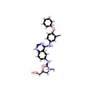 Cc1cc(Nc2ncnc3ccc(/N=C4\OC(CO)CN4C)cc23)ccc1Oc1ccccc1